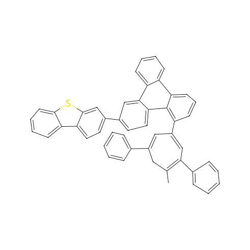 CC1=C(c2ccccc2)C=C(c2cccc3c4ccccc4c4cc(-c5ccc6c(c5)sc5ccccc56)ccc4c23)C=C(c2ccccc2)C1